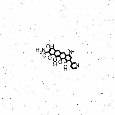 CN(C)c1cc(-c2cccnc2)c(O)c2c1CC1CC3CC(O)=C(C(N)=O)C(=O)C3C(O)=C1C2=O